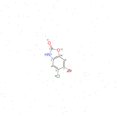 O=c1[nH]c2cc(Cl)c(Br)cc2o1